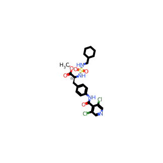 COC(=O)[C@H](Cc1ccc(NC(=O)c2c(Cl)cncc2Cl)cc1)NS(=O)(=O)NCC1CCCCC1